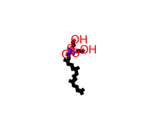 CC(C)=CCCC(C)=CCCC(C)=CCCC(C)CC(=O)N(OCCO)OCCO